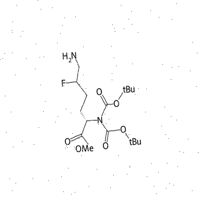 COC(=O)[C@H](CCC(F)CN)N(C(=O)OC(C)(C)C)C(=O)OC(C)(C)C